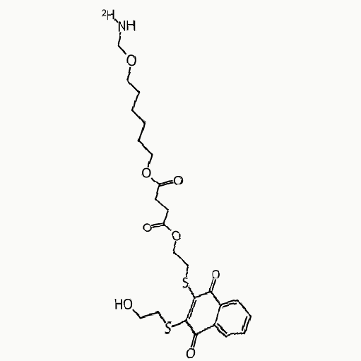 [2H]NCOCCCCCCOC(=O)CCC(=O)OCCSC1=C(SCCO)C(=O)c2ccccc2C1=O